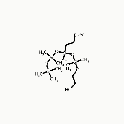 CCCCCCCCCCCC[Si](C)(O[Si](C)(C)OCCO)O[Si](C)(C)O[Si](C)(C)C